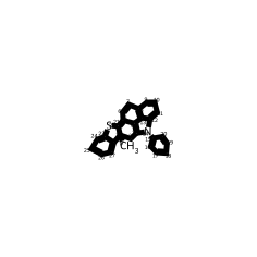 CC12Cc3c4c(ccc5cccc(c54)n3-c3ccccc3)=C1Sc1ccccc12